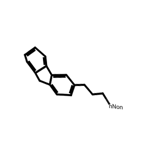 CCCCCCCCCCCCc1ccc2c(c1)-c1ccccc1C2